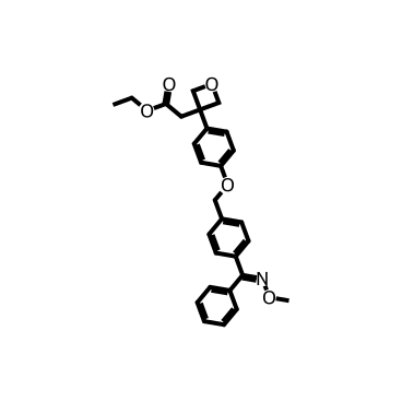 CCOC(=O)CC1(c2ccc(OCc3ccc(C(=NOC)c4ccccc4)cc3)cc2)COC1